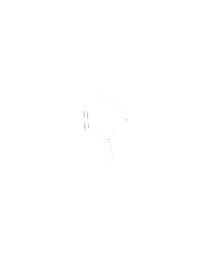 COc1cc[siH]cc1